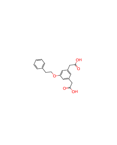 O=C(O)Cc1cc(CC(=O)O)cc(OCCc2ccccc2)c1